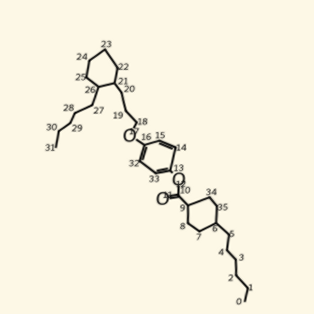 CCCCCCC1CCC(C(=O)Oc2ccc(OCCCC3CCCCC3CCCCC)cc2)CC1